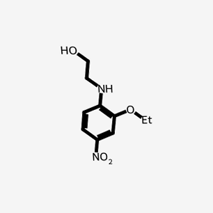 CCOc1cc([N+](=O)[O-])ccc1NCCO